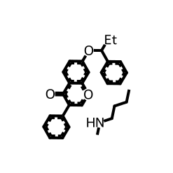 CCC(Oc1ccc2c(=O)c(-c3ccccc3)coc2c1)c1ccccc1.CCCCNC